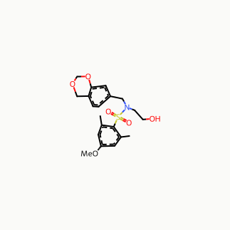 COc1cc(C)c(S(=O)(=O)N(CCO)Cc2ccc3c(c2)OCOC3)c(C)c1